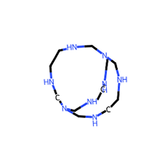 C1CNCN2CNCCNCN(CN1)CNCCNC2